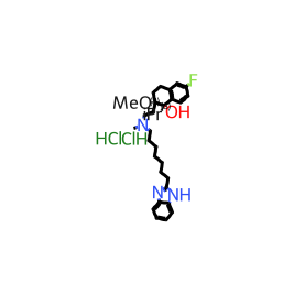 CO[C@]1(CCN(C)CCCCCCCc2nc3ccccc3[nH]2)CCc2cc(F)ccc2[C@@]1(O)C(C)C.Cl.Cl